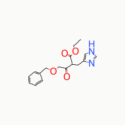 CCOC(=O)C(Cc1c[nH]cn1)C(=O)COCc1ccccc1